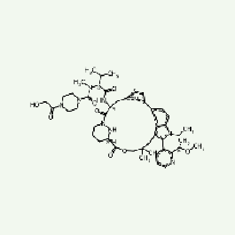 CCn1c(-c2cccnc2[C@H](C)OC)c2c3cc(ccc31)-c1csc(n1)C[C@H](NC(=O)[C@H](C(C)C)N(C)C(=O)N1CCN(C(=O)CO)CC1)C(=O)N1CCC[C@H](N1)C(=O)OCC(C)(C)C2